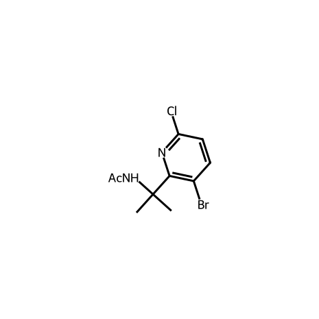 CC(=O)NC(C)(C)c1nc(Cl)ccc1Br